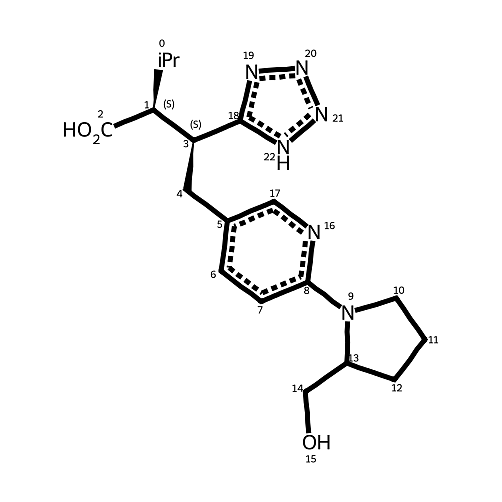 CC(C)[C@H](C(=O)O)[C@H](Cc1ccc(N2CCCC2CO)nc1)c1nnn[nH]1